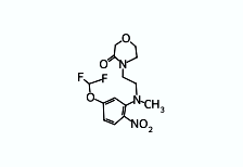 CN(CCN1CCOCC1=O)c1cc(OC(F)F)ccc1[N+](=O)[O-]